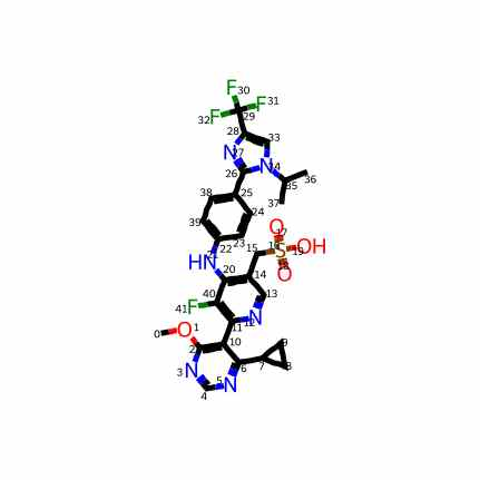 COc1ncnc(C2CC2)c1-c1ncc(CS(=O)(=O)O)c(Nc2ccc(-c3nc(C(F)(F)F)cn3C(C)C)cc2)c1F